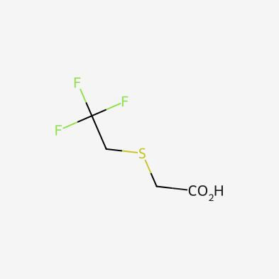 O=C(O)CSCC(F)(F)F